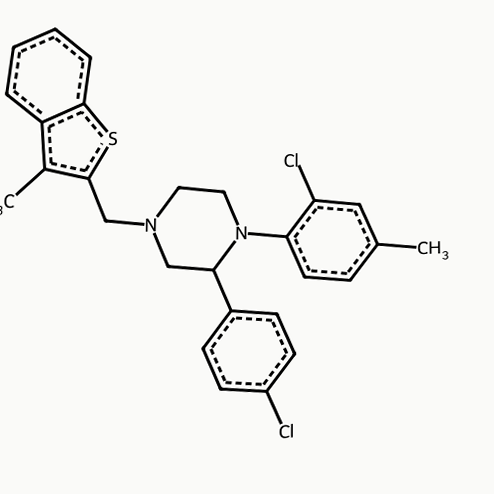 Cc1ccc(N2CCN(Cc3sc4ccccc4c3C)CC2c2ccc(Cl)cc2)c(Cl)c1